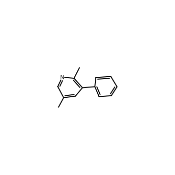 Cc1cnc(C)c(-c2ccccc2)c1